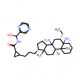 CC[C@H]1CC2(N)C3CC[C@H](CCCC4CC4C(=O)NC(O)c4cnccn4)C3(C)CC[C@@H]2C2(C)CCCCC12N